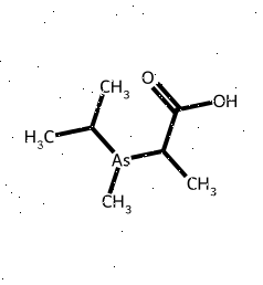 CC(C)[As](C)C(C)C(=O)O